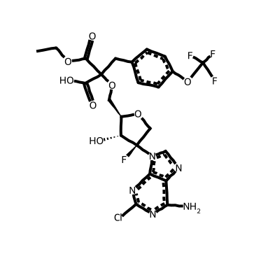 CCOC(=O)C(Cc1ccc(OC(F)(F)F)cc1)(OC[C@H]1OC[C@](F)(n2cnc3c(N)nc(Cl)nc32)[C@@H]1O)C(=O)O